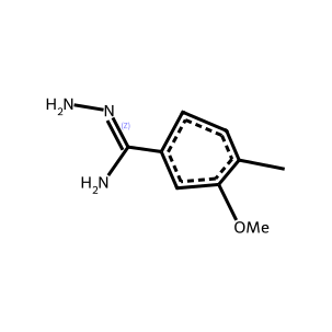 COc1cc(/C(N)=N/N)ccc1C